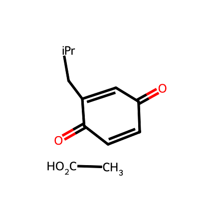 CC(=O)O.CC(C)CC1=CC(=O)C=CC1=O